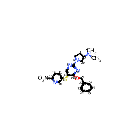 CN(C)C1CCN(c2ncc(Sc3ccc([N+](=O)[O-])nc3)c(OCc3ccccc3)n2)C1